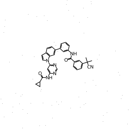 CC(C)(C#N)c1cccc(C(=O)Nc2cccc(-c3ccc4ccn(-c5cc(NC(=O)C6CC6)ncn5)c4c3)c2)c1